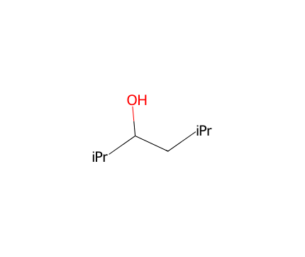 CC(C)CC(O)C(C)C